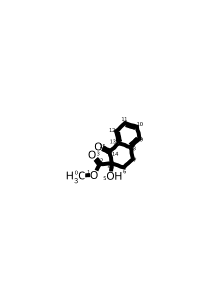 COC(=O)C1(O)CCc2ccccc2C1=O